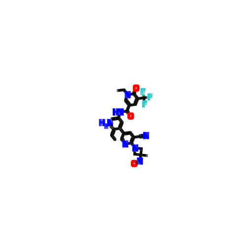 C\C=C(C)/C(=C\C(=C/N)NC(=O)c1cc(C(F)(F)F)c(=O)n(CC)c1)c1cnc(N2CC(C)(N=O)C2)c(C#N)c1